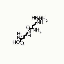 N=C(N)NCCCC(N)C(=O)NCCCCC(N)C(=O)O